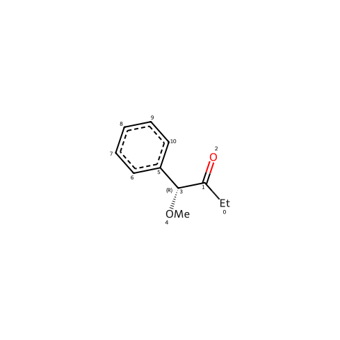 CCC(=O)[C@H](OC)c1ccccc1